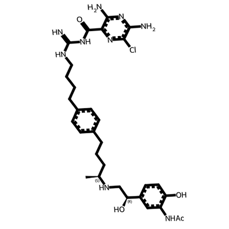 CC(=O)Nc1cc([C@@H](O)CN[C@@H](C)CCCc2ccc(CCCCNC(=N)NC(=O)c3nc(Cl)c(N)nc3N)cc2)ccc1O